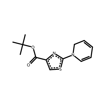 CC(C)(C)OC(=O)c1csc(N2C=CC=CC2)n1